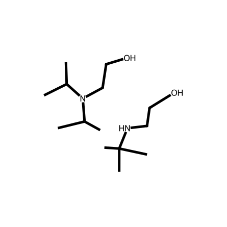 CC(C)(C)NCCO.CC(C)N(CCO)C(C)C